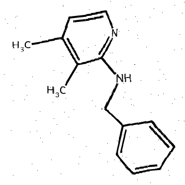 Cc1ccnc(N[CH]c2ccccc2)c1C